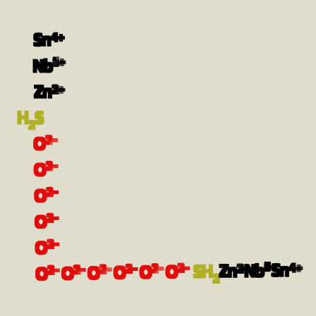 S.S.[Nb+5].[Nb+5].[O-2].[O-2].[O-2].[O-2].[O-2].[O-2].[O-2].[O-2].[O-2].[O-2].[O-2].[Sn+4].[Sn+4].[Zn+2].[Zn+2]